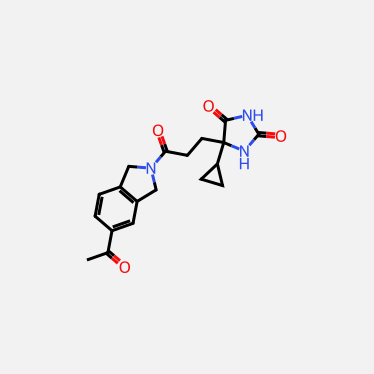 CC(=O)c1ccc2c(c1)CN(C(=O)CCC1(C3CC3)NC(=O)NC1=O)C2